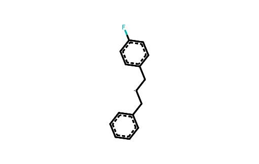 Fc1ccc(C[CH]Cc2ccccc2)cc1